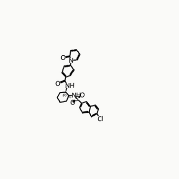 O=C(N[C@@H]1CCCC[C@@H]1NS(=O)(=O)c1ccc2cc(Cl)ccc2c1)c1ccc(-n2ccccc2=O)cc1